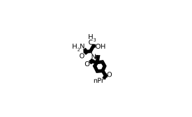 CCCC(=O)C1CCC2(CC1)CN([C@H](C(N)=O)[C@@H](C)O)C2=O